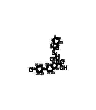 O=C(CSc1nc2ccccc2s1)NC1(C(=O)O)Cc2ccc(-c3ccc(Cl)cc3)cc2C1